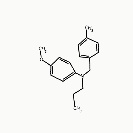 CCCN(Cc1ccc(C)cc1)c1ccc(OC)cc1